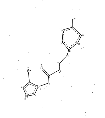 CCc1cncn1CC(=O)CCCc1ccc(C)cc1